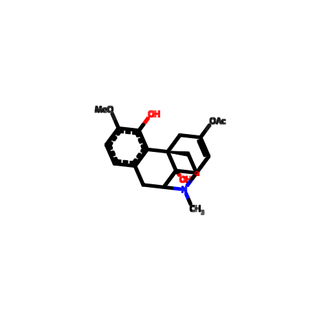 COc1ccc2c(c1O)[C@@]13CCN(C)C(C2)C1(O)CC=C(OC(C)=O)C3